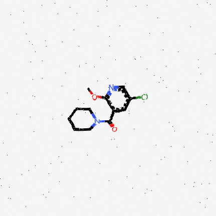 COc1ncc(Cl)cc1C(=O)N1CCCCC1